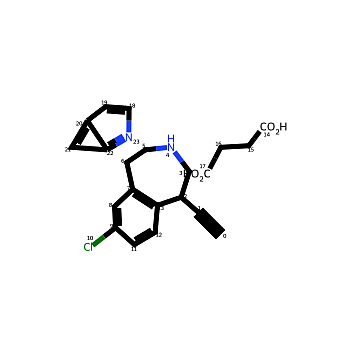 C#CC1CNCCc2cc(Cl)ccc21.O=C(O)CCC(=O)O.c1cc2cc-2n1